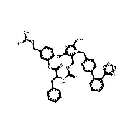 CCCCc1nc(Cl)c(COC(=O)NC(Cc2ccccc2)C(=O)Oc2cccc(CON(O)O)c2)n1Cc1ccc(-c2ccccc2-c2nnn[nH]2)cc1